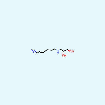 NCCCCCCNCC(O)CO